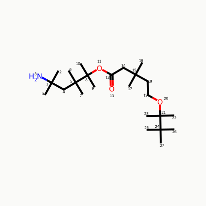 CC(C)(N)CC(C)(C)C(C)(C)OC(=O)CC(C)(C)CCOC(C)(C)C(C)(C)C